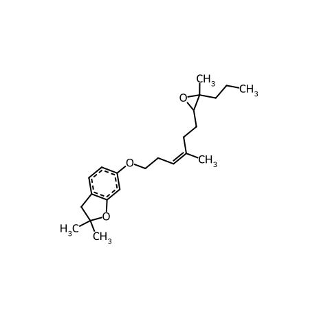 CCCC1(C)OC1CCC(C)=CCCOc1ccc2c(c1)OC(C)(C)C2